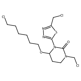 O=C1N(CCl)CCC(OCCCCCCCl)N1c1nnc(CCl)s1